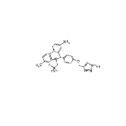 Cc1ccc2c(c1)N(C[PH](F)(F)F)C(c1ccc(OCc3cn(C[18F])nn3)cc1)c1cc(N)ccc1-2